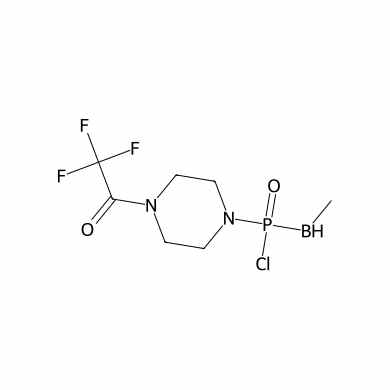 CBP(=O)(Cl)N1CCN(C(=O)C(F)(F)F)CC1